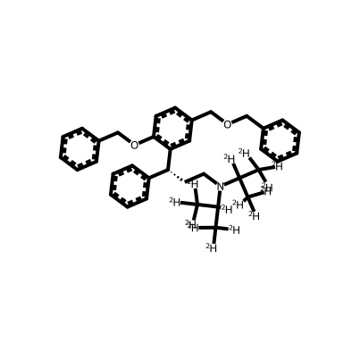 [2H]C([2H])([2H])C([2H])(N(CC[C@H](c1ccccc1)c1cc(COCc2ccccc2)ccc1OCc1ccccc1)C([2H])(C([2H])([2H])[2H])C([2H])([2H])[2H])C([2H])([2H])[2H]